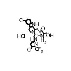 Cl.NC(CO)C(=O)NCC1c2[nH]c3ccc(Cl)cc3c2CCN1CCNc1ccc(Cl)c(C(F)(F)F)n1